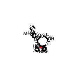 CC[C@H]1OC(=O)[C@H](C)[C@@H](O[C@H]2C[C@@](C)(OC)[C@](O)(CN3CCOCC3)[C@H](C)O2)[C@H](C)[C@@H](O[C@@H]2O[C@H](C)C[C@H](NC)[C@H]2Oc2ccccc2)[C@](C)(O)C[C@@H](C)CN[C@H](C)[C@@H](O)[C@]1(C)O